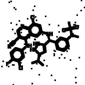 CC(C)N1C=C([C@@H](Nc2cc(Cl)c3ncc(C#N)c(Nc4ccc(F)c(Cl)c4)c3c2)c2cccc(N(C)S(C)(=O)=O)c2)NN1